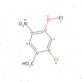 CCOc1cc(Cl)c(C(=O)O)cc1[N+](=O)[O-]